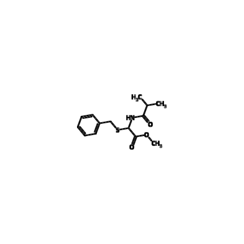 COC(=O)C(NC(=O)C(C)C)SCc1ccccc1